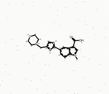 Cn1cc(C(=O)O)c2cc(-c3nc(CN4CCOCC4)cs3)ccc21